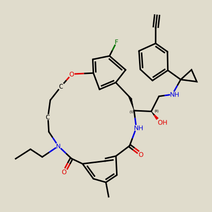 C#Cc1cccc(C2(NC[C@@H](O)[C@@H]3Cc4cc(F)cc(c4)OCCCCN(CCC)C(=O)c4cc(C)cc(c4)C(=O)N3)CC2)c1